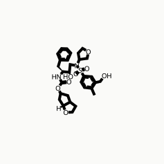 Cc1ccc(S(=O)(=O)N(C[C@@H](O)[C@H](Cc2ccccc2)NC(=O)OC2CC3CCO[C@@H]3C2)C2CCOC2)cc1CO